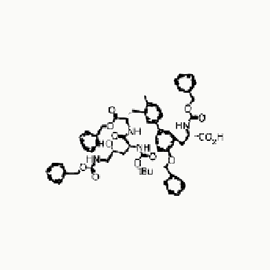 Cc1ccc(-c2ccc(OCc3ccccc3)c(C[C@H](NC(=O)OCc3ccccc3)C(=O)O)c2)cc1C[C@H](NC(=O)[C@H](C[C@@H](O)CNC(=O)OCc1ccccc1)NC(=O)OC(C)(C)C)C(=O)OCc1ccccc1